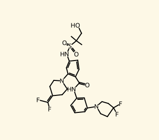 CC(C)(CO)S(=O)(=O)Nc1ccc(C(=O)Nc2cccc(N3CCC(F)(F)CC3)c2)c(N2CCC(=C(F)F)CC2)c1